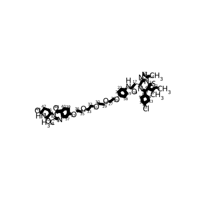 Cc1sc2c(c1C)C(c1ccc(Cl)cc1)=N[C@H](CC(=O)Nc1ccc(OCCOCCOCCOCCOc3ccc4c(=O)n(C5CCC(=O)NC5=O)c(C)nc4c3)cc1)c1nnc(C)n1-2